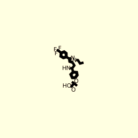 CCCn1nc(-c2ccc(C(F)(F)F)cc2)cc1CC(NC)c1ccc(OC(C)(C)C(=O)O)cc1